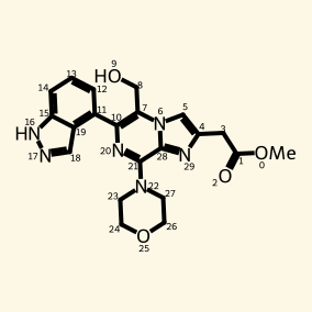 COC(=O)Cc1cn2c(CO)c(-c3cccc4[nH]ncc34)nc(N3CCOCC3)c2n1